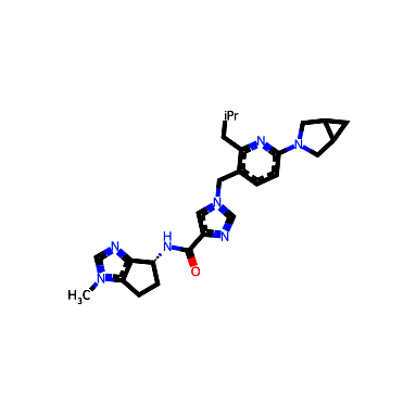 CC(C)Cc1nc(N2CC3CC3C2)ccc1Cn1cnc(C(=O)N[C@@H]2CCc3c2ncn3C)c1